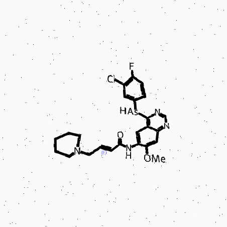 COc1cc2ncnc([AsH]c3ccc(F)c(Cl)c3)c2cc1NC(=O)/C=C/CN1CCCCC1